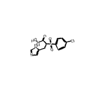 O=C(NO)C(Cc1cnc[nH]1)S(=O)(=O)c1ccc(Cl)cc1